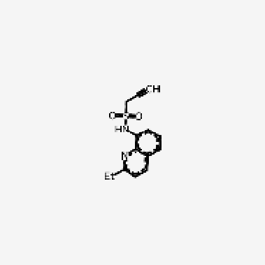 C#CCS(=O)(=O)Nc1cccc2ccc(CC)nc12